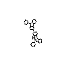 c1ccc(C2c3ccccc3-c3cc(-c4ccc5c(c4)nc4n(-c6ccccc6)c6ccccc6n54)ccc32)cc1